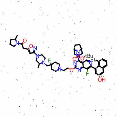 CCc1cccc2cc(O)cc(-c3ncc4c(N5CC6CCC(C5)N6C(=O)OC(C)(C)C)nc(OCCN5CCC(F)(CN6CCN(c7cc(CC(=O)N8CCCC8C)on7)CC6C)CC5)nc4c3F)c12